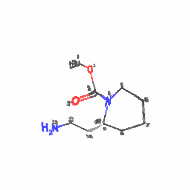 CC(C)(C)OC(=O)N1CCCC[C@@H]1CCN